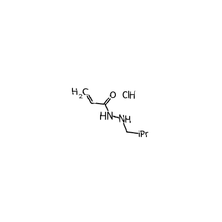 C=CC(=O)NNCC(C)C.Cl